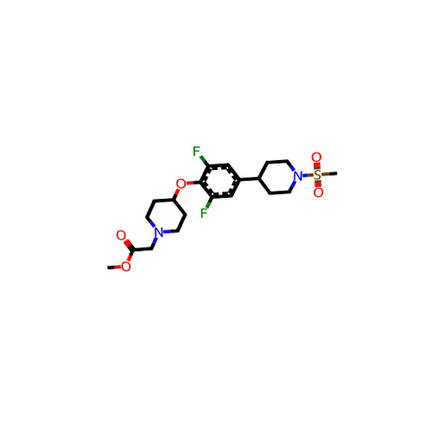 COC(=O)CN1CCC(Oc2c(F)cc(C3CCN(S(C)(=O)=O)CC3)cc2F)CC1